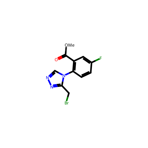 COC(=O)c1cc(F)ccc1-n1cnnc1CBr